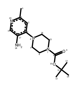 Cc1cc(N2CCN(C(=O)OC(C)(C)C)CC2)c(N)cn1